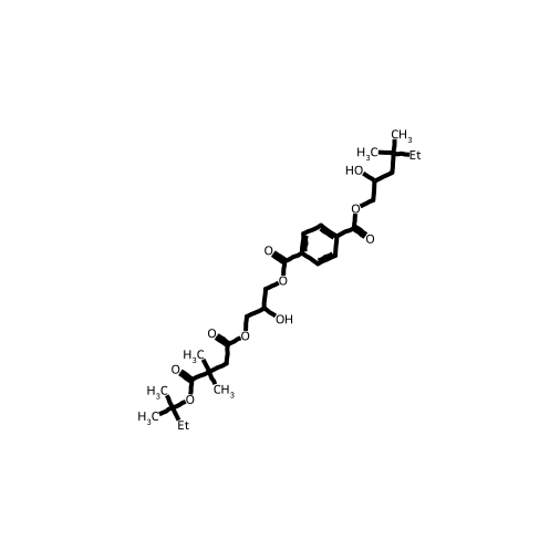 CCC(C)(C)CC(O)COC(=O)c1ccc(C(=O)OCC(O)COC(=O)CC(C)(C)C(=O)OC(C)(C)CC)cc1